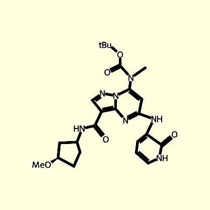 CO[C@@H]1CCC(NC(=O)c2cnn3c(N(C)C(=O)OC(C)(C)C)cc(Nc4ccc[nH]c4=O)nc23)C1